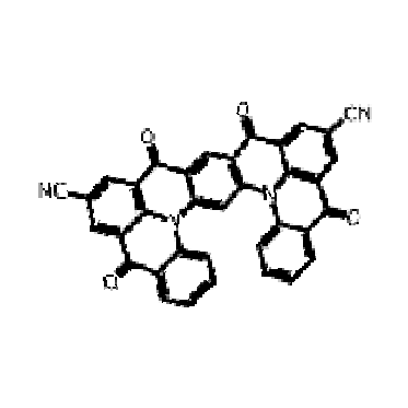 N#Cc1cc2c(=O)c3ccccc3n3c4cc5c(cc4c(=O)c(c1)c23)c(=O)c1cc(C#N)cc2c(=O)c3ccccc3n5c21